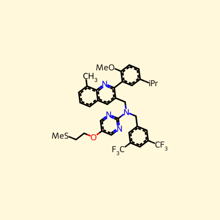 COc1ccc(C(C)C)cc1-c1nc2c(C)cccc2cc1CN(Cc1cc(C(F)(F)F)cc(C(F)(F)F)c1)c1ncc(OCCSC)cn1